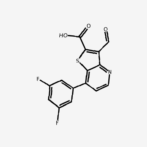 O=Cc1c(C(=O)O)sc2c(-c3cc(F)cc(F)c3)ccnc12